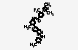 Cc1ccc(Nc2ncc3cc(-c4cc(NC(=O)c5ccc(-n6cc(C)nc6C)c(C(F)(F)F)c5)ccc4C)ncc3n2)cn1